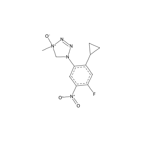 C[N+]1([O-])CN(c2cc([N+](=O)[O-])c(F)cc2C2CC2)N=N1